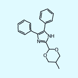 CC1COC(c2nc(-c3ccccc3)c(-c3ccccc3)[nH]2)OC1